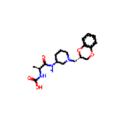 C[C@H](NC(=O)O)C(=O)N[C@H]1CCCN(C[C@H]2COc3ccccc3O2)C1